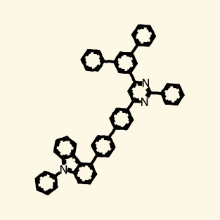 c1ccc(-c2cc(-c3ccccc3)cc(-c3cc(-c4ccc(-c5ccc(-c6cccc7c6c6ccccc6n7-c6ccccc6)cc5)cc4)nc(-c4ccccc4)n3)c2)cc1